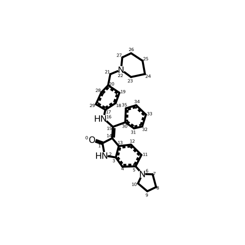 O=C1Nc2cc(N3CCCC3)ccc2/C1=C(/Nc1ccc(CN2CCCCC2)cc1)c1ccccc1